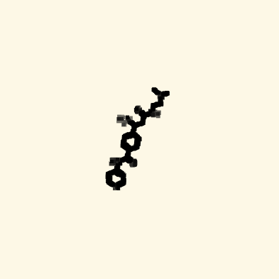 CN(C)CCNC(=O)CC(N)c1ccc(C(=O)Nc2ccncc2)cc1